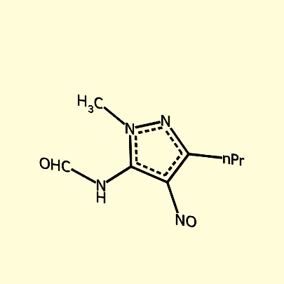 CCCc1nn(C)c(NC=O)c1N=O